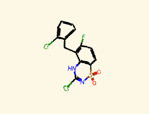 O=S1(=O)N=C(Cl)Nc2c1ccc(F)c2Cc1ccccc1Cl